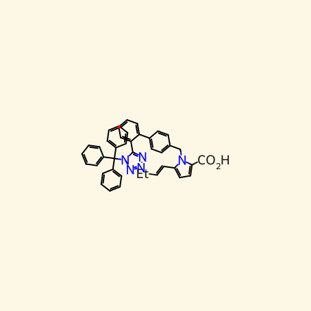 CCC=Cc1ccc(C(=O)O)n1Cc1ccc(-c2ccccc2-c2nnnn2C(c2ccccc2)(c2ccccc2)c2ccccc2)cc1